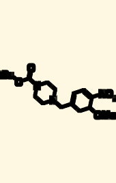 COC1CC(CN2CCN(C(=O)OC(C)(C)C)CC2)=CC=C1[N+](=O)[O-]